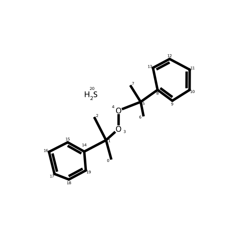 CC(C)(OOC(C)(C)c1ccccc1)c1ccccc1.S